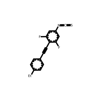 CCc1ccc(C#Cc2c(F)cc(N=C=S)cc2F)cc1